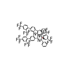 FC(F)(F)c1ccc(-c2ccc(-c3nc(-c4ccccc4)nc(-c4ccccc4)n3)c(-n3c4cc(-c5ccc(C(F)(F)F)cc5C(F)(F)F)ccc4c4ccc(-c5ccc(C(F)(F)F)cc5C(F)(F)F)cc43)c2)c(C(F)(F)F)c1